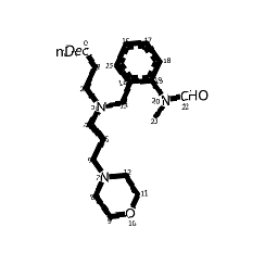 CCCCCCCCCCCCN(CCCN1CCOCC1)Cc1ccccc1N(C)C=O